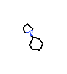 C1CCC(=[N+]2CCCC2)CC1